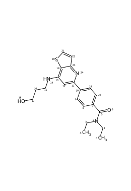 CCN(CC)C(=O)c1ccc(-c2cc(NCCCO)c3sccc3n2)cc1